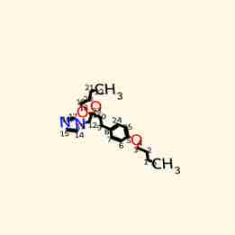 CCCCOc1ccc(CCC2(Cn3ccnc3)OCC(CC)O2)cc1